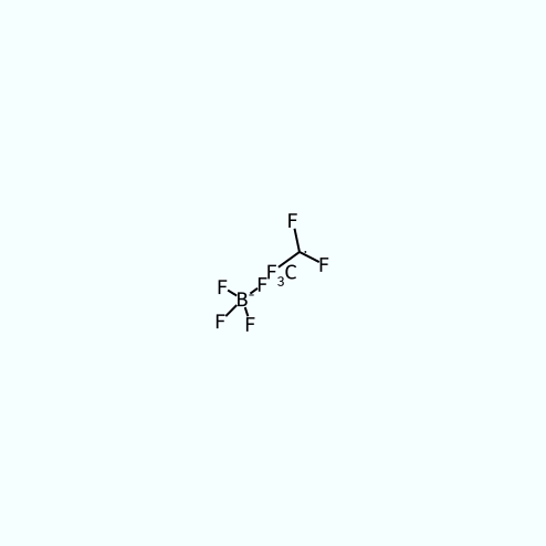 F[B-](F)(F)F.F[C](F)C(F)(F)F